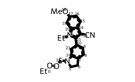 CCOOSN1CCc2ccc(-c3c(C#N)c4ccc(OC)cc4n3CC)cc21